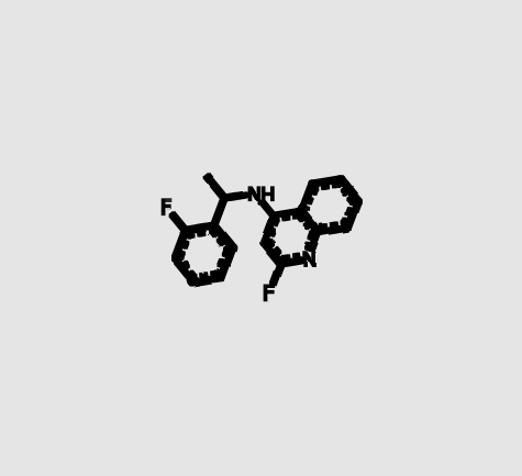 CC(Nc1cc(F)nc2ccccc12)c1ccccc1F